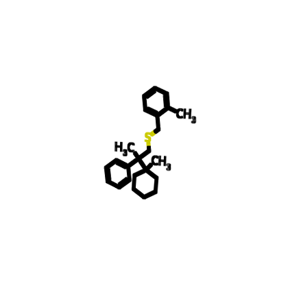 Cc1ccccc1CSCC(C)(c1ccccc1)C1(C)CCCCC1